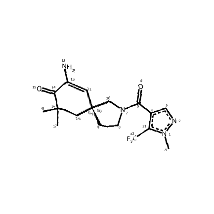 Cn1ncc(C(=O)N2CC[C@@]3(C=C(N)C(=O)C(C)(C)C3)C2)c1C(F)(F)F